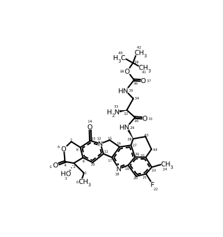 CC[C@@]1(O)C(=O)OCc2c1cc1n(c2=O)Cc2c-1nc1cc(F)c(C)c3c1c2[C@@H](NC(=O)[C@@H](N)CNC(=O)OC(C)(C)C)CC3